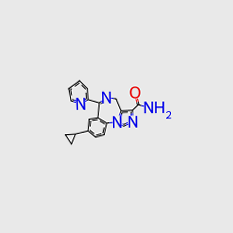 NC(=O)c1ncn2c1CN=C(c1ccccn1)c1cc(C3CC3)ccc1-2